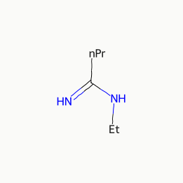 [CH2]CCC(=N)NCC